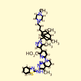 Cc1c(Nc2nc3ccccc3s2)nnc2c1CCCN2c1ccc(-c2cnn(CC34CC5(C)CC(C)(CC(CCCN6CCN(C)CC6)(C5)C3)C4)c2C)c(C(=O)O)n1